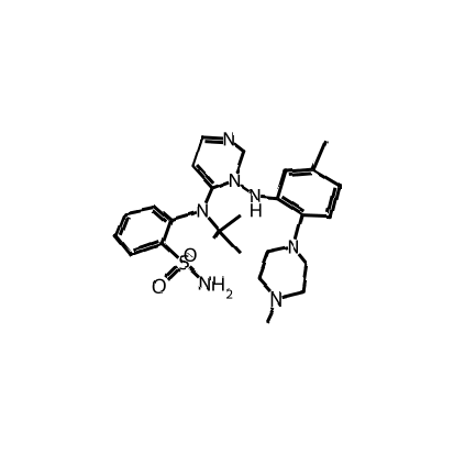 Cc1ccc(N2CCN(C)CC2)c(NN2CN=CC=C2N(c2ccccc2S(N)(=O)=O)C(C)(C)C)c1